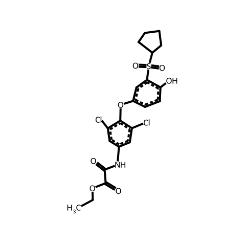 CCOC(=O)C(=O)Nc1cc(Cl)c(Oc2ccc(O)c(S(=O)(=O)C3CCCC3)c2)c(Cl)c1